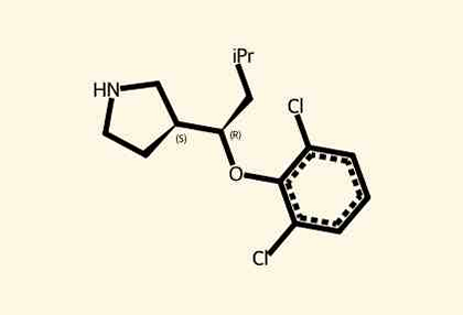 CC(C)C[C@@H](Oc1c(Cl)cccc1Cl)[C@H]1CCNC1